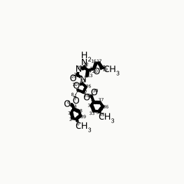 Cc1ccc(C(=O)OC[C@@H]2O[C@H](n3cc(-c4ccc(C)o4)c(N)nc3=O)C[C@H]2OC(=O)c2ccc(C)cc2)cc1